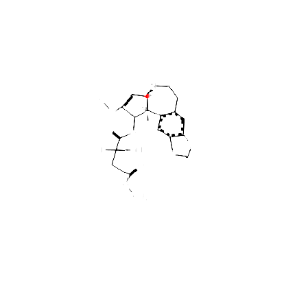 COC(=O)CC(O)(F)C(=O)OC1C(OC)=C[C@]23CCCN2CCc2cc4c(cc2[C@H]13)OCO4